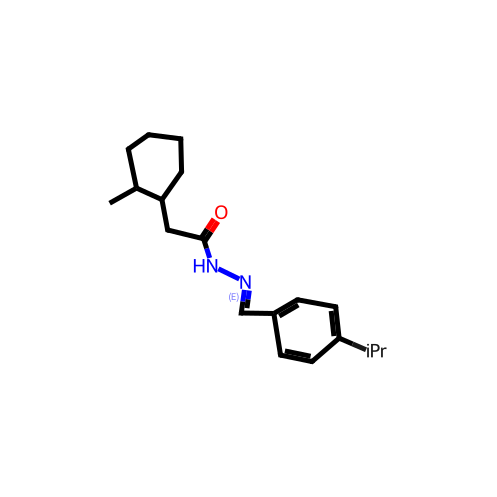 CC(C)c1ccc(/C=N/NC(=O)CC2CCCCC2C)cc1